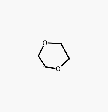 [CH]1COCCO1